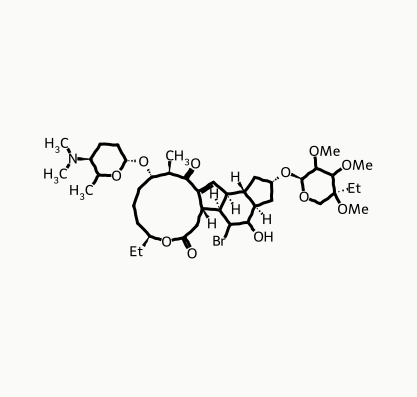 CC[C@H]1CCC[C@H](O[C@H]2CC[C@H](N(C)C)C(C)O2)[C@@H](C)C(=O)C2=C[C@H]3[C@@H]4C[C@H](O[C@@H]5OC[C@](CC)(OC)C(OC)C5OC)C[C@H]4C(O)C(Br)[C@H]3[C@@H]2CC(=O)O1